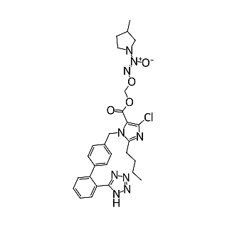 CCCCc1nc(Cl)c(C(=O)OCO/N=[N+](\[O-])N2CCC(C)C2)n1Cc1ccc(-c2ccccc2-c2nnn[nH]2)cc1